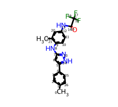 Cc1ccc(-c2cc(Nc3ccc(NC(=O)C(F)(F)F)cc3C)n[nH]2)cc1